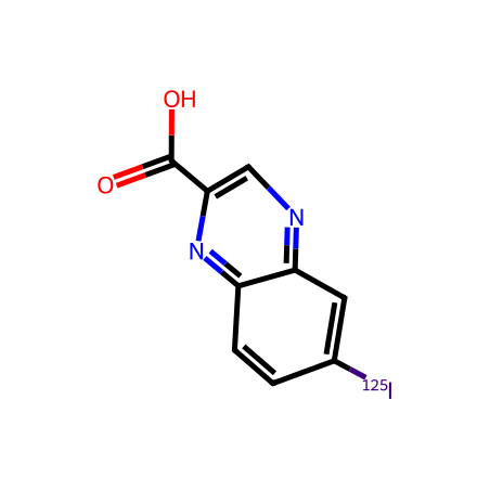 O=C(O)c1cnc2cc([125I])ccc2n1